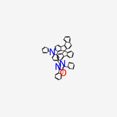 c1ccc(-c2nc(-c3ccc4c(c3)c3c5c(ccc3n4-c3ccccc3)-c3c(ccc4ccccc34)C53c4ccccc4-c4ccccc43)nc3c2oc2ccccc23)cc1